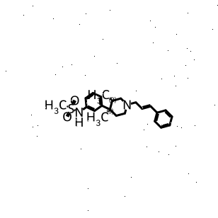 C[C@H]1CN(CC=Cc2ccccc2)CC[C@]1(C)c1cccc(NS(C)(=O)=O)c1